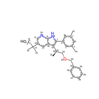 Cc1cc(C)cc(-c2[nH]c3ncc(C(C)(C)C(=O)O)cc3c2[C@H](C)COCc2ccccc2)c1